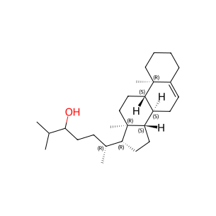 CC(C)C(O)CC[C@@H](C)[C@H]1CC[C@H]2[C@@H]3CC=C4CCCC[C@]4(C)[C@H]3CC[C@]12C